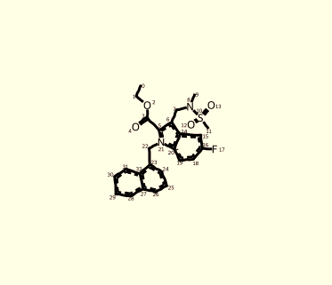 CCOC(=O)c1c(CN(C)S(C)(=O)=O)c2cc(F)ccc2n1Cc1cccc2ccccc12